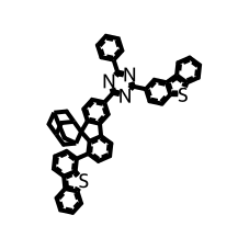 c1ccc(-c2nc(-c3ccc4c(c3)-c3cccc(-c5cccc6c5sc5ccccc56)c3C43C4CC5CC(C4)CC3C5)nc(-c3ccc4sc5ccccc5c4c3)n2)cc1